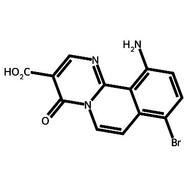 Nc1ccc(Br)c2ccn3c(=O)c(C(=O)O)cnc3c12